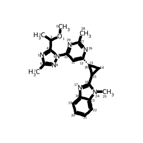 COC(C)c1nc(C)nn1-c1cc([C@@H]2CC2c2nc3ccccc3n2C)nc(C)n1